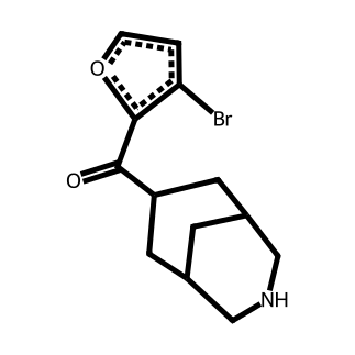 O=C(c1occc1Br)C1CC2CNCC(C2)C1